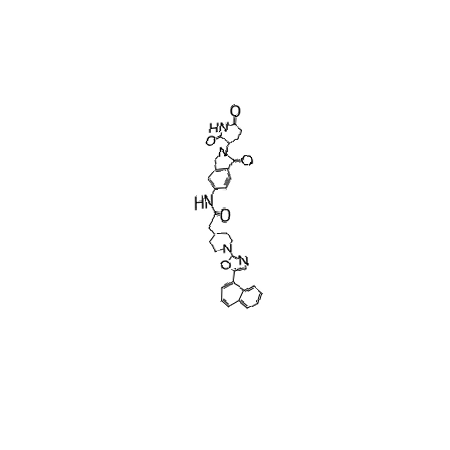 O=C1CCC(N2Cc3cc(NC(=O)CC4CCN(c5ncc(-c6cccc7ccccc67)o5)CC4)ccc3C2=O)C(=O)N1